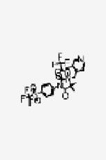 Cc1cnccc1C[N+]1(OC(=O)C(F)(F)F)C(=O)N(c2ccc(S(=O)(=O)C(F)(F)F)cc2)C(=O)C1(C)C